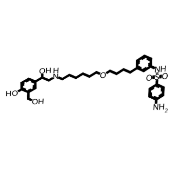 Nc1ccc(S(=O)(=O)Nc2cccc(CCCCOCCCCCCNCC(O)c3ccc(O)c(CO)c3)c2)cc1